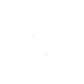 Cc1ccc(S(=O)(=O)Nc2ccc3c(c2)OC(C)(C)[C@H](O)[C@H]3N(CCc2ccccc2)C(=O)OC(C)(C)C)cc1